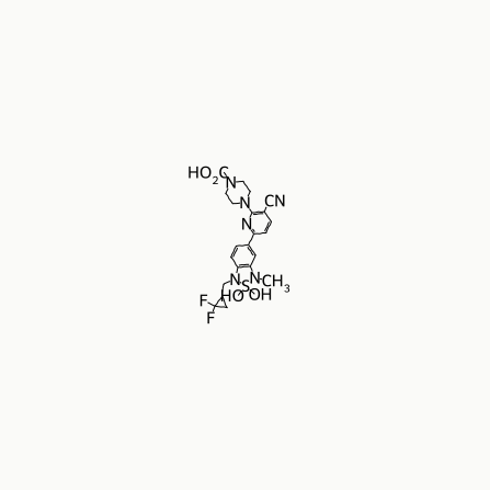 CN1c2cc(-c3ccc(C#N)c(N4CCN(C(=O)O)CC4)n3)ccc2N(CC2CC2(F)F)S1(O)O